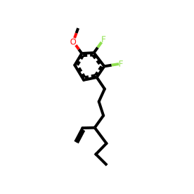 C=CC(CCC)CCCc1ccc(OC)c(F)c1F